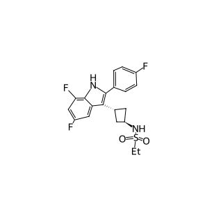 CCS(=O)(=O)N[C@H]1C[C@H](c2c(-c3ccc(F)cc3)[nH]c3c(F)cc(F)cc32)C1